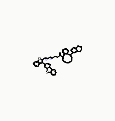 C=C(CC/C=C/C=C/c1oc2ccccc2c1C1=CC2Sc3ccccc3C2C=C1)c1ccccccc(-c2ccc3c(c2)CCC=C3)c2ccccc12